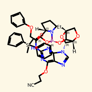 CC[C@@]12CO[C@@H](C1O[P@@]1O[C@H](C[Si](C)(c3ccccc3)c3ccccc3)[C@@H]3CCCN31)[C@H](n1cnc3c(OCCC#N)nc(NC(=O)COc4ccccc4)nc31)O2